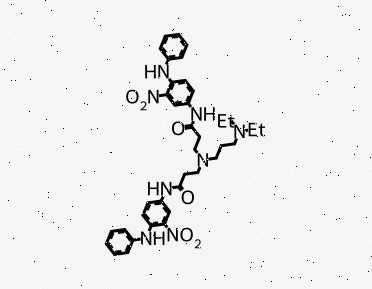 CCN(CC)CCCN(CCC(=O)Nc1ccc(Nc2ccccc2)c([N+](=O)[O-])c1)CCC(=O)Nc1ccc(Nc2ccccc2)c([N+](=O)[O-])c1